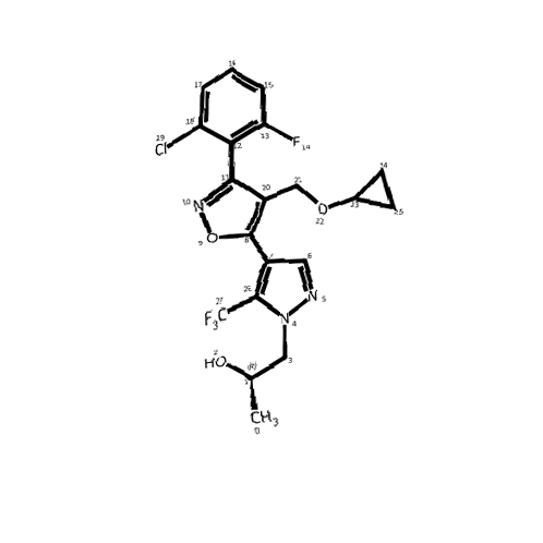 C[C@@H](O)Cn1ncc(-c2onc(-c3c(F)cccc3Cl)c2COC2CC2)c1C(F)(F)F